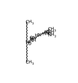 CCCCCCCCCCCCCCN(CCCCCCCCCCCCCC)C(=O)CNC(=O)CNCCCNCCCCN(CCC)NC(=N)N